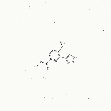 COC(=O)c1ccc(OC)c(-c2c[nH]cn2)n1